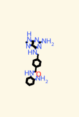 Nc1nc(NCc2ccc(C(=O)Nc3ccccc3N)cc2)c2nc[nH]c2n1